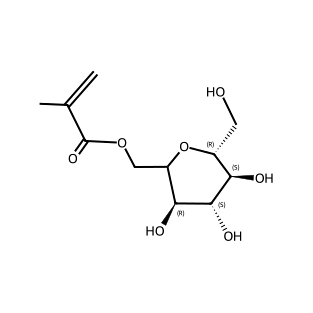 C=C(C)C(=O)OCC1O[C@H](CO)[C@@H](O)[C@H](O)[C@H]1O